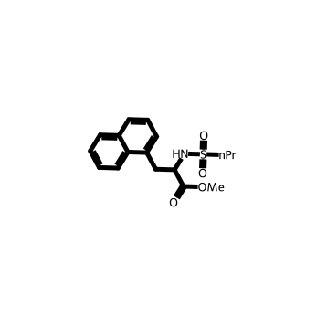 CCCS(=O)(=O)NC(Cc1cccc2ccccc12)C(=O)OC